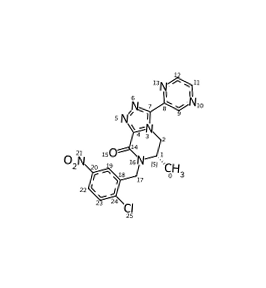 C[C@H]1Cn2c(nnc2-c2cnccn2)C(=O)N1Cc1cc([N+](=O)[O-])ccc1Cl